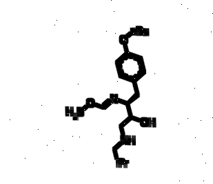 BOC=N[C@@H](Cc1ccc(OCCCC)cc1)C(O)CNCC(C)C